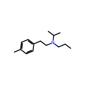 CCCN(CCc1ccc(C)cc1)C(C)C